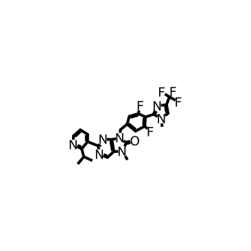 CC(C)c1ncccc1-c1ncc2c(n1)n(Cc1cc(F)c(-c3nc(C(F)(F)F)cn3C)c(F)c1)c(=O)n2C